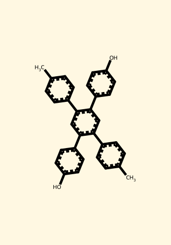 Cc1ccc(-c2cc(-c3ccc(O)cc3)c(-c3ccc(C)cc3)cc2-c2ccc(O)cc2)cc1